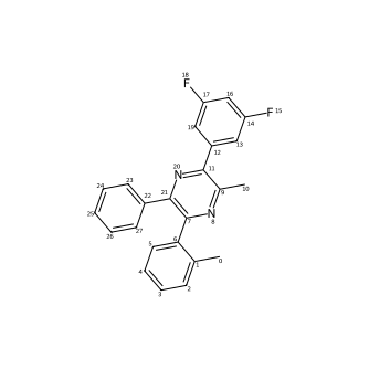 Cc1ccccc1-c1nc(C)c(-c2cc(F)cc(F)c2)nc1-c1ccccc1